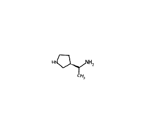 CC(N)[C@@H]1CCNC1